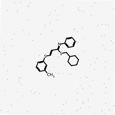 Cc1cccc(SC=CC(=Nc2ccccc2)SCC2CCCCC2)c1